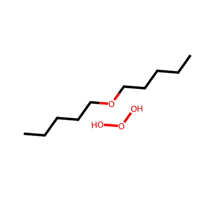 CCCCCOCCCCC.OOO